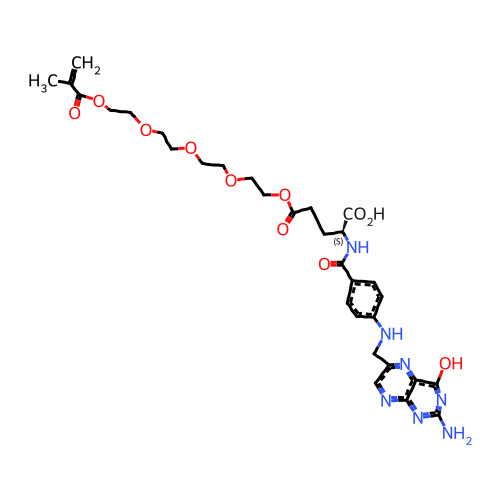 C=C(C)C(=O)OCCOCCOCCOCCOC(=O)CC[C@H](NC(=O)c1ccc(NCc2cnc3nc(N)nc(O)c3n2)cc1)C(=O)O